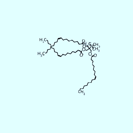 CCCCCCCC/C=C\CCCCCCCC(=O)OCC(COC(=O)CCCCCCC/C=C\CCCCCCCC)(COC(=O)CCCCCCC/C=C\CCCCCCCC)[N+](C)(C)C